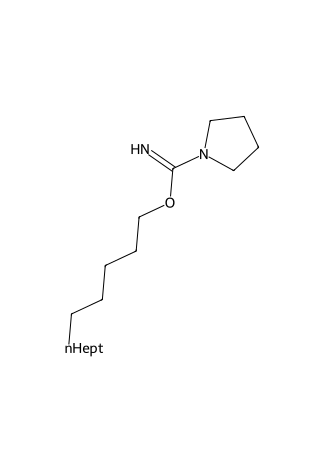 CCCCCCCCCCCCOC(=N)N1CCCC1